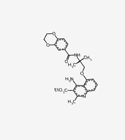 CCOC(=O)c1c(C)nc2cccc(OCC(C)(C)NC(=O)c3ccc4c(c3)OCCO4)c2c1N